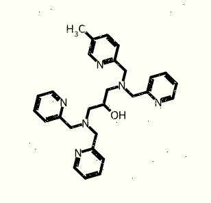 Cc1ccc(CN(Cc2ccccn2)CC(O)CN(Cc2ccccn2)Cc2ccccn2)nc1